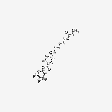 C=CC(=O)OCCCCCCOc1ccc(C(=O)Oc2cc(F)c(F)c(F)c2)cc1